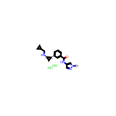 CCn1cc(NC(=O)c2cccc([C@@H]3C[C@H]3NCC3CC3)c2)cn1.Cl.Cl